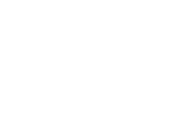 CSc1c(C)ccc(S(=O)(=O)c2ccc(C)c(SC)c2Cl)c1Cl